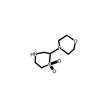 O=S1(=O)CCNCC1N1CCOCC1